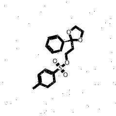 CC1=CC=C(S(=O)(=O)OCCC2([C@@H]3C=CC=CC3)OCCO2)CC1